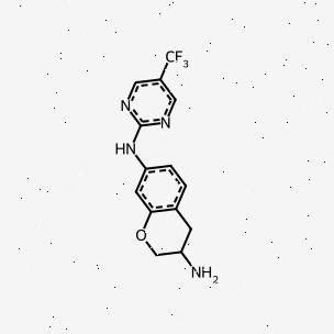 NC1COc2cc(Nc3ncc(C(F)(F)F)cn3)ccc2C1